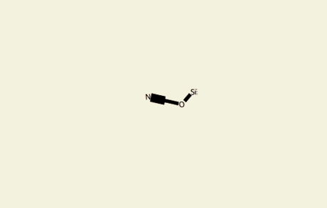 N#CO[Si]